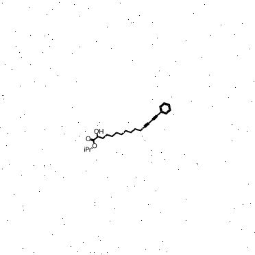 CC(C)OC(=O)C(O)CCCCCCCCCC#CC#Cc1ccccc1